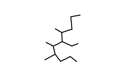 CCCC(C)[C](C)C(CC)C(C)CCC